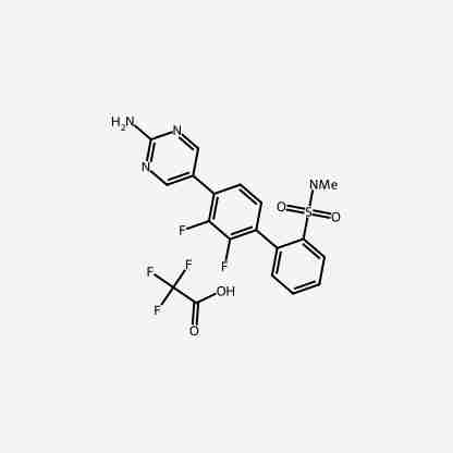 CNS(=O)(=O)c1ccccc1-c1ccc(-c2cnc(N)nc2)c(F)c1F.O=C(O)C(F)(F)F